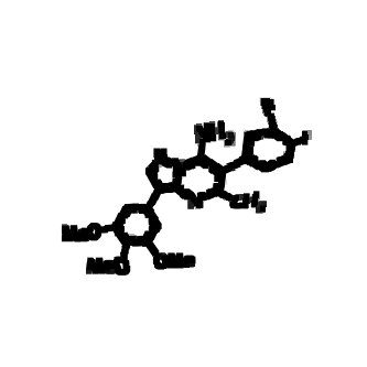 COc1cc(-c2cnn3c(N)c(-c4ccc(F)c(F)c4)c(C)nc23)cc(OC)c1OC